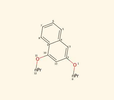 CCCOc1[c]c2ccccc2c(OCCC)c1